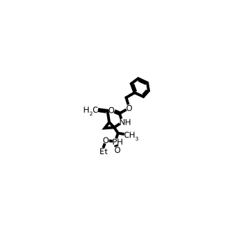 C=CC1CC1(NC(=O)OCc1ccccc1)C(C)[PH](=O)OCC